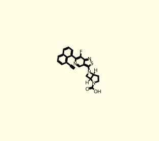 C#Cc1cccc2cccc(-c3ncc4c(N5C[C@@H]6[C@H]5CCN6C(=O)O)snc4c3F)c12